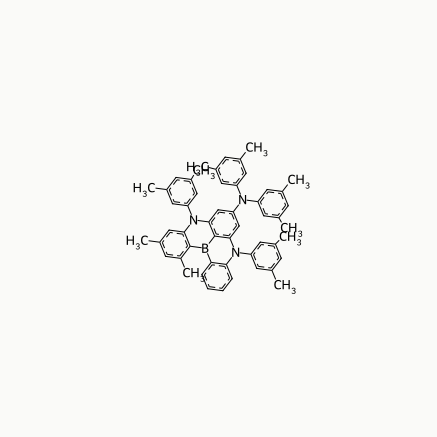 Cc1cc(C)cc(N(c2cc(C)cc(C)c2)c2cc3c4c(c2)N(c2cc(C)cc(C)c2)c2cc(C)cc(C)c2B4c2ccccc2N3c2cc(C)cc(C)c2)c1